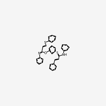 C(=CC(=Nc1ccccc1)Oc1ccccc1)Sc1ccccc1.S=C(C=Cc1ccccc1)Nc1ccccc1